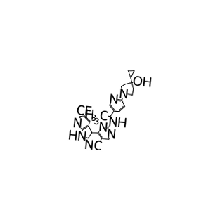 CC(Nc1ncc(C#N)c(C2CNc3ncc(C(F)(F)F)cc32)n1)c1ccc(N2CCC(O)(C3CC3)CC2)nc1